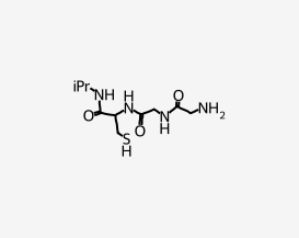 CC(C)NC(=O)C(CS)NC(=O)CNC(=O)CN